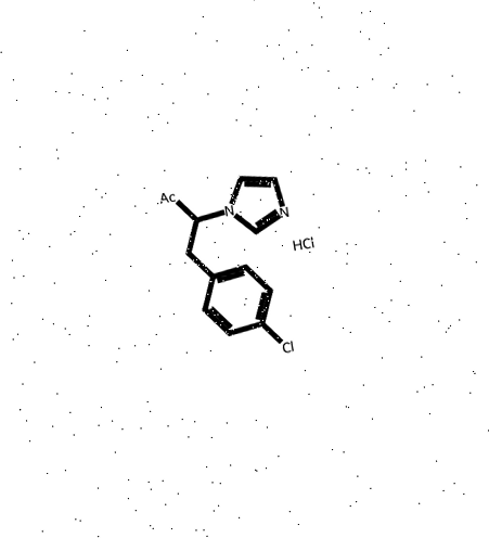 CC(=O)C(Cc1ccc(Cl)cc1)n1ccnc1.Cl